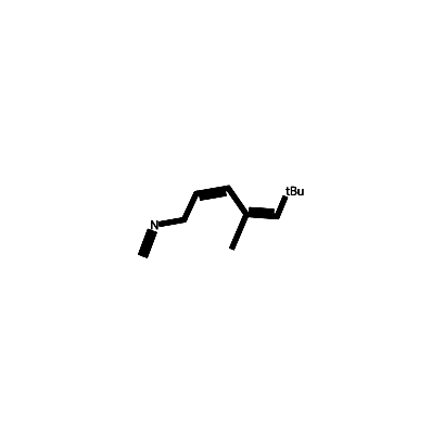 C=NC/C=C\C(C)=C/C(C)(C)C